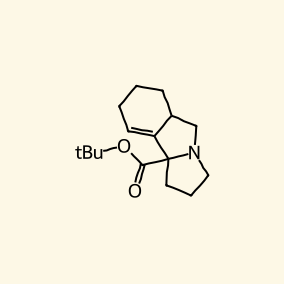 CC(C)(C)OC(=O)C12CCCN1CC1CCCC=C12